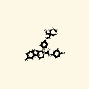 CCc1ccc(OC(=O)N2CCc3c([nH]c4ccc(Cl)cc34)[C@@H]2c2ccc(OCC3(CO)COCOC3)cc2)cc1